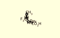 Cc1ccc(-c2nc(CO[C@H]3CCC[C@@H](C(=O)NC(C(=O)O)C(C)C)C3)c(C(F)(F)F)o2)cc1